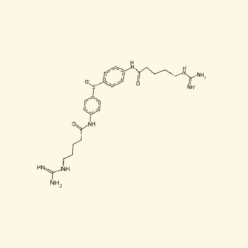 N=C(N)NCCCCC(=O)Nc1ccc([S+]([O-])c2ccc(NC(=O)CCCCNC(=N)N)cc2)cc1